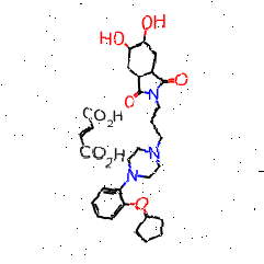 O=C(O)C=CC(=O)O.O=C1C2CC(O)C(O)CC2C(=O)N1CCCN1CCN(c2ccccc2OC2CCCC2)CC1